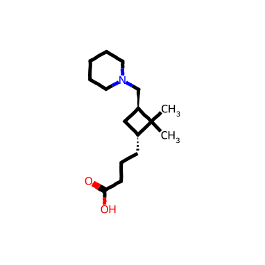 CC1(C)[C@H](CCCC(=O)O)C[C@H]1CN1CCCCC1